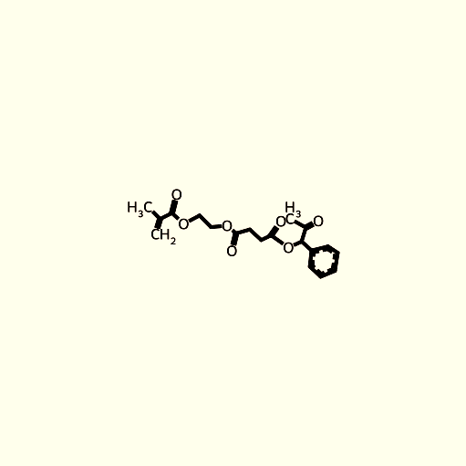 C=C(C)C(=O)OCCOC(=O)CCC(=O)OC(C(C)=O)c1ccccc1